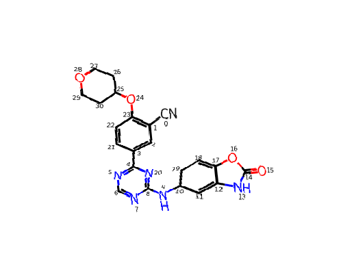 N#Cc1cc(-c2ncnc(NC3C=c4[nH]c(=O)oc4=CC3)n2)ccc1OC1CCOCC1